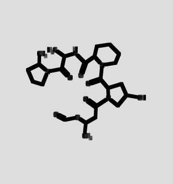 CC(CC(=O)N1CC(O)CC1C(=O)N1CCCCC1C(=O)NC(C)C(=O)N1CCCC1C)OC=O